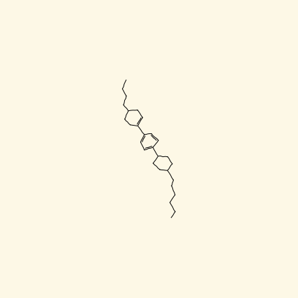 CCCCCCC1CCC(c2ccc(C3=CCC(CCCC)CC3)cc2)CC1